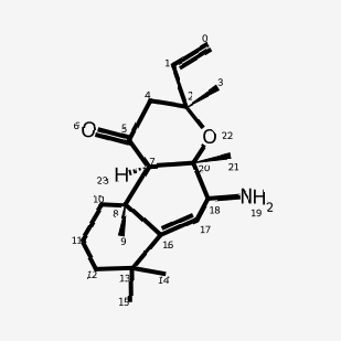 C=C[C@@]1(C)CC(=O)[C@@H]2[C@@]3(C)CCCC(C)(C)C3=CC(N)[C@@]2(C)O1